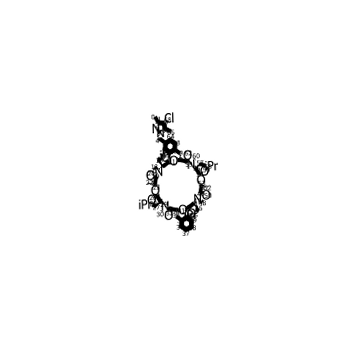 Cc1nn(Cc2ccc(C[C@H]3OC(=O)[C@H](CC(C)C)N(C)C(=O)[C@@H](C)OC(=O)[C@H](CC(C)C)N(C)C(=O)[C@@H](Cc4ccccc4)OC(=O)[C@H](CC(C)C)N(C)C(=O)[C@@H](C)OC(=O)[C@H](CC(C)C)N(C)C3=O)cc2)c(C)c1Cl